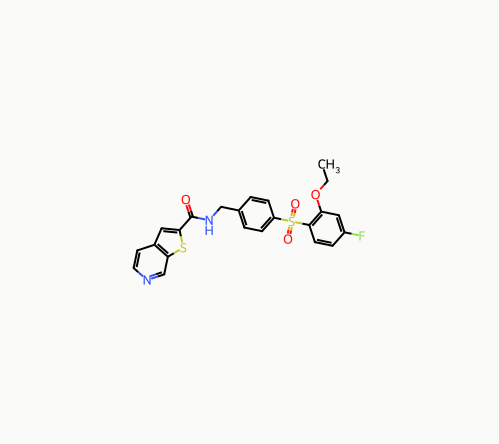 CCOc1cc(F)ccc1S(=O)(=O)c1ccc(CNC(=O)c2cc3ccncc3s2)cc1